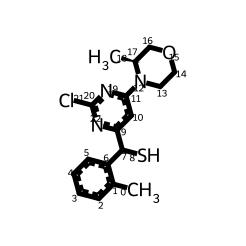 Cc1ccccc1C(S)c1cc(N2CCOC[C@@H]2C)nc(Cl)n1